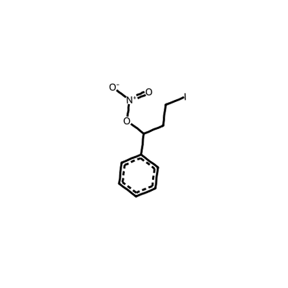 O=[N+]([O-])OC(CCI)c1ccccc1